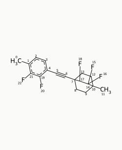 Cc1ccc(C#CC23CCC(C)(CC2)C(F)(F)C3F)c(F)c1F